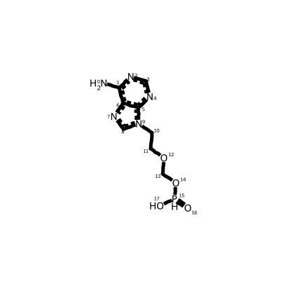 Nc1ncnc2c1ncn2CCOCO[PH](=O)O